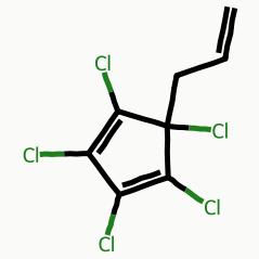 C=CCC1(Cl)C(Cl)=C(Cl)C(Cl)=C1Cl